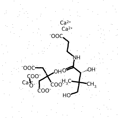 CC(C)(CO)[C@@H](O)C(=O)NCCC(=O)[O-].O=C([O-])CC(O)(CC(=O)[O-])C(=O)[O-].O=C([O-])[O-].[Ca+2].[Ca+2].[Ca+2]